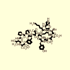 CC[C@H](C)[C@H](NC(=O)[C@H](Cc1c[nH]cn1)NC(=O)[C@@H](N)CCCCN)C(=O)N[C@@H](CC(=O)O)C(=O)N[C@@H](C)C(=O)N[C@@H](Cc1ccc(O)cc1)C(=O)N[C@@H](CCCCN)C(=O)N[C@H](C(=O)N[C@@H](Cc1ccccc1)C(=O)N1CCC[C@H]1C(=O)N1CCC[C@H]1C(=O)N[C@H](C(=O)N[C@H](C(=O)O)[C@@H](C)O)[C@@H](C)O)[C@@H](C)O